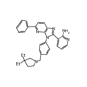 CCC1(CC)CCN(Cc2ccc(-n3c(-c4cccnc4N)nc4ccc(-c5ccccc5)nc43)cc2)C1